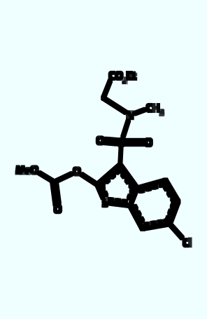 CCOC(=O)CN(C)S(=O)(=O)c1c(OC(=O)OC)sc2cc(Cl)ccc12